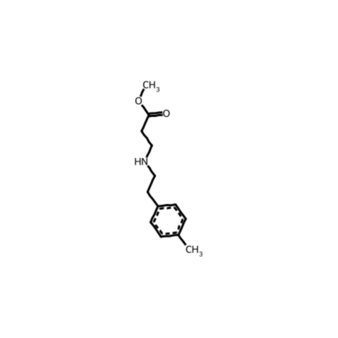 COC(=O)CCNCCc1ccc(C)cc1